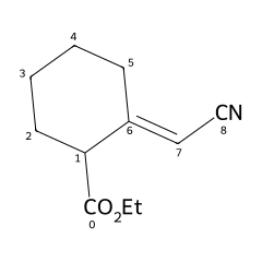 CCOC(=O)C1CCCCC1=CC#N